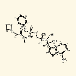 C[C@H](NP(=O)(OC[C@@]1(C#N)OC[C@@](O)(c2ccc3c(N)ncnn23)[C@@H]1O)Oc1ccccc1)C(=O)OC1CCC1